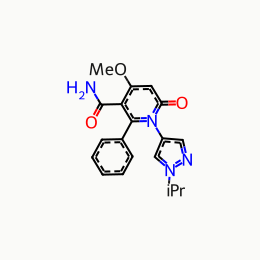 COc1cc(=O)n(-c2cnn(C(C)C)c2)c(-c2ccccc2)c1C(N)=O